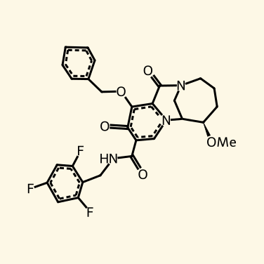 CO[C@@H]1CCCN2CC1n1cc(C(=O)NCc3c(F)cc(F)cc3F)c(=O)c(OCc3ccccc3)c1C2=O